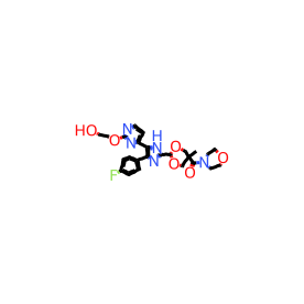 CC1(C(=O)N2CCOCC2)COC(c2nc(-c3ccc(F)cc3)c(-c3ccnc(OCCO)n3)[nH]2)OC1